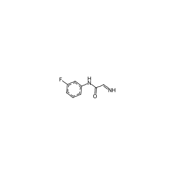 N=CC(=O)Nc1cccc(F)c1